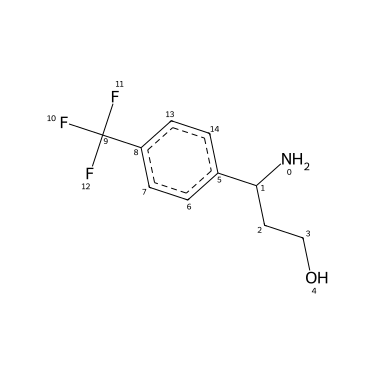 NC(CCO)c1ccc(C(F)(F)F)cc1